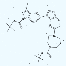 Cc1nn(C(=O)OC(C)(C)C)c2ccc(-c3cnc4ccc(N5CCCN(C(=O)OC(C)(C)C)CC5)nn34)cc12